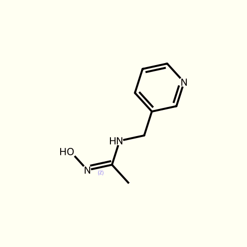 C/C(=N/O)NCc1cccnc1